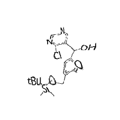 CC(C)(C)[Si](C)(C)OCc1coc(C(O)c2cncnc2Cl)c1